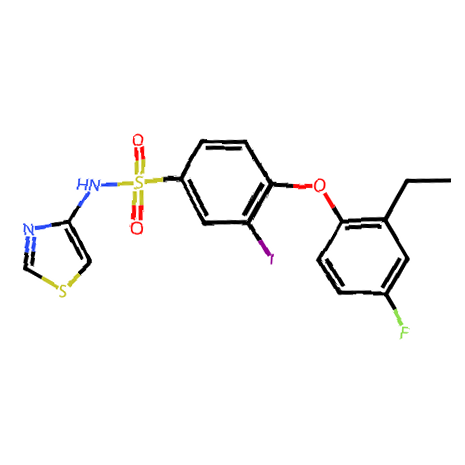 CCc1cc(F)ccc1Oc1ccc(S(=O)(=O)Nc2cscn2)cc1I